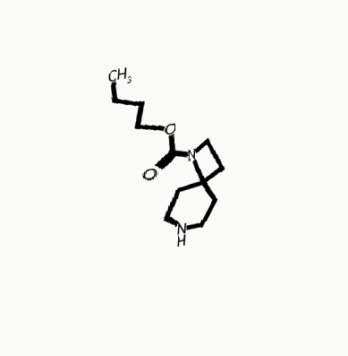 CCCCOC(=O)N1CCC12CCNCC2